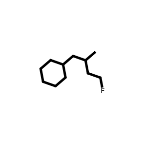 CC(CCF)CC1CCCCC1